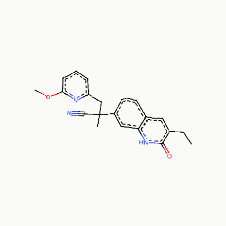 CCc1cc2ccc(C(C)(C#N)Cc3cccc(OC)n3)cc2[nH]c1=O